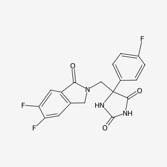 O=C1NC(=O)C(CN2Cc3cc(F)c(F)cc3C2=O)(c2ccc(F)cc2)N1